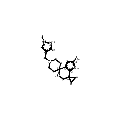 Cn1cc(CN2CCC3(CC2)OCC2(CC2)c2sc(Cl)cc23)cn1